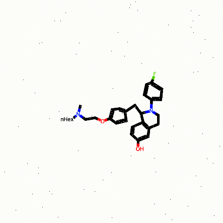 CCCCCCN(C)CCOc1ccc(CC2c3ccc(O)cc3CCN2c2ccc(F)cc2)cc1